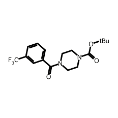 CC(C)(C)OC(=O)N1CCN(C(=O)c2cccc(C(F)(F)F)c2)CC1